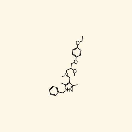 CCOc1ccc(OCC(CN(C)Cc2c(C)nn(Cc3ccccc3)c2C)OC)cc1